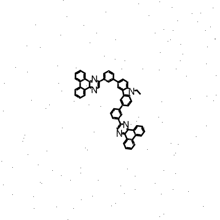 CCn1c2ccc(-c3cccc(-c4cnc5c6ccccc6c6ccccc6c5n4)c3)cc2c2cc(-c3cccc(-c4cnc5c6ccccc6c6ccccc6c5n4)c3)ccc21